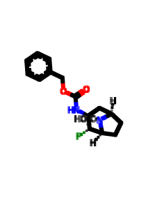 O=C(N[C@H]1C[C@H]2CC[C@@H]([C@@H]1F)N2C(=O)O)OCc1ccccc1